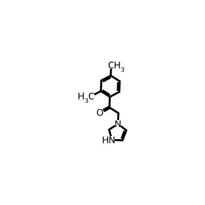 Cc1ccc(C(=O)CN2C=CNC2)c(C)c1